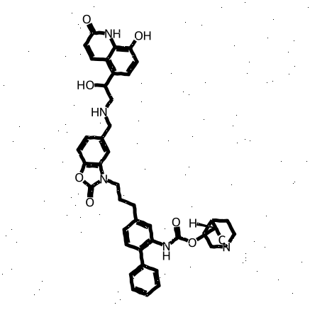 O=C(Nc1cc(CCCn2c(=O)oc3ccc(CNCC(O)c4ccc(O)c5[nH]c(=O)ccc45)cc32)ccc1-c1ccccc1)O[C@H]1CN2CCC1CC2